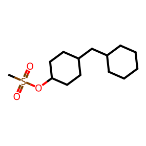 CS(=O)(=O)OC1CCC(CC2CCCCC2)CC1